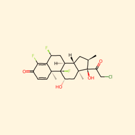 C[C@@H]1C[C@H]2[C@@H]3C[C@H](F)C4=C(F)C(=O)C=C[C@]4(C)[C@@]3(F)[C@@H](O)C[C@]2(C)[C@@]1(O)C(=O)CCl